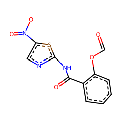 O=COc1ccccc1C(=O)Nc1ncc([N+](=O)[O-])s1